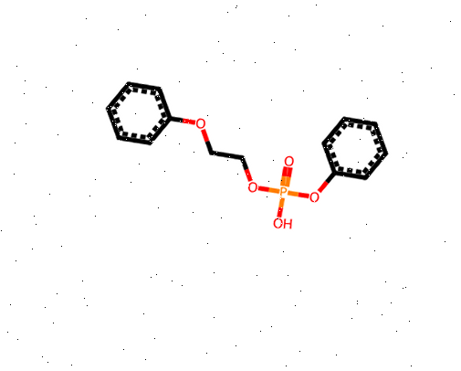 O=P(O)(OCCOc1ccccc1)Oc1ccccc1